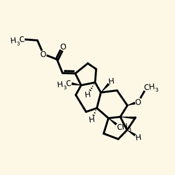 CCOC(=O)C=C1CC[C@H]2[C@@H]3C[C@@H](OC)[C@]45C[C@@H]4CC[C@]5(C)[C@H]3CC[C@]12C